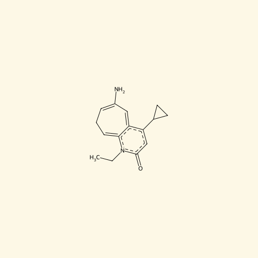 CCn1c(=O)cc(C2CC2)c2c1=CCC=C(N)C=2